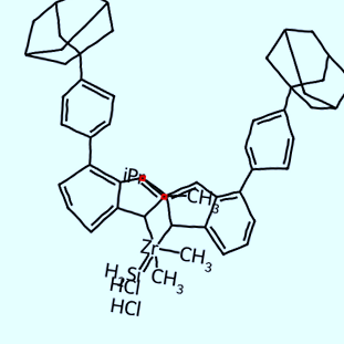 CC1=Cc2c(-c3ccc(C45CC6CC(CC(C6)C4)C5)cc3)cccc2[CH]1[Zr]([CH3])([CH3])(=[SiH2])[CH]1C(C(C)C)=Cc2c(-c3ccc(C45CC6CC(CC(C6)C4)C5)cc3)cccc21.Cl.Cl